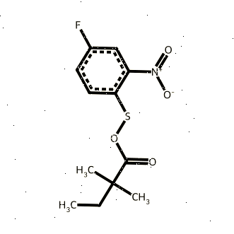 CCC(C)(C)C(=O)OSc1ccc(F)cc1[N+](=O)[O-]